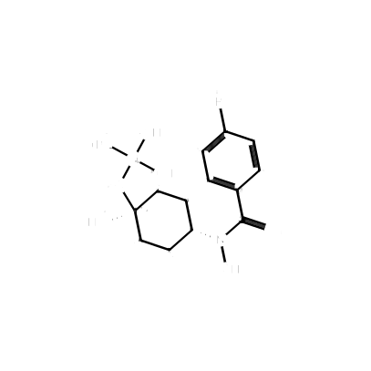 CN(C(=O)c1ccc(Br)cc1)[C@H]1CC[C@](C)(O[Si](C)(C)C(C)(C)C)CC1